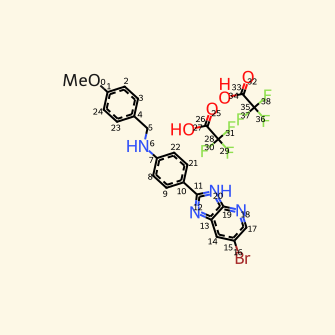 COc1ccc(CNc2ccc(-c3nc4cc(Br)cnc4[nH]3)cc2)cc1.O=C(O)C(F)(F)F.O=C(O)C(F)(F)F